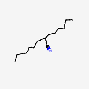 [CH2]CCCCCC(C#N)CCCCCC